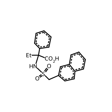 CCC(NS(=O)(=O)Cc1ccc2ccccc2c1)(C(=O)O)c1ccccc1